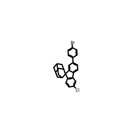 Clc1ccc2c(c1)-c1ccc(-c3ccc(Br)cc3)cc1C21C2CC3CC(C2)CC1C3